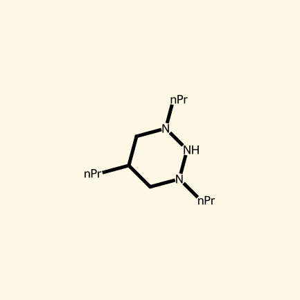 CCCC1CN(CCC)NN(CCC)C1